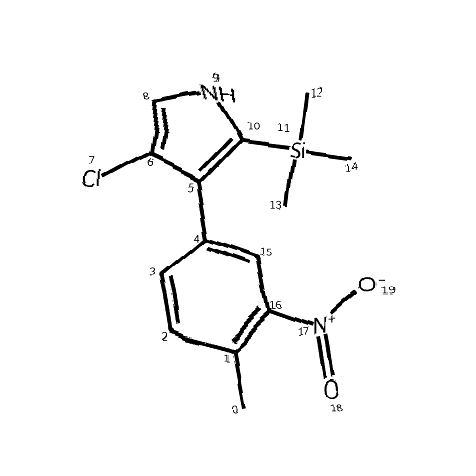 Cc1ccc(-c2c(Cl)c[nH]c2[Si](C)(C)C)cc1[N+](=O)[O-]